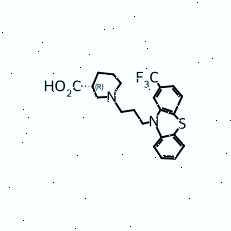 O=C(O)[C@@H]1CCCN(CCCN2c3ccccc3Sc3ccc(C(F)(F)F)cc32)C1